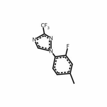 Cc1ccc(-n2cnc(C(F)(F)F)n2)c(F)c1